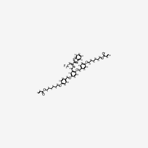 C=CC(=O)OCCCCCCOc1ccc(COc2ccc(OCc3ccc(OCCCCCCOC(=O)C=C)cc3)c(/C=N/N(CC(F)(F)F)c3nc4ccccc4s3)c2)cc1